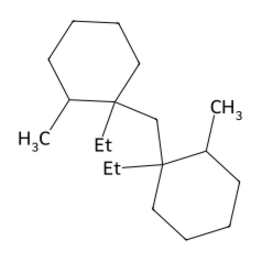 CCC1(CC2(CC)CCCCC2C)CCCCC1C